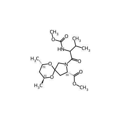 COC(=O)NC(C(=O)N1CC2(C[C@H]1C(=O)OC)O[C@@H](C)C[C@H](C)O2)C(C)C